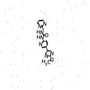 COc1ncc(-c2ccc(NC(=O)NCc3ncccn3)nc2)cn1